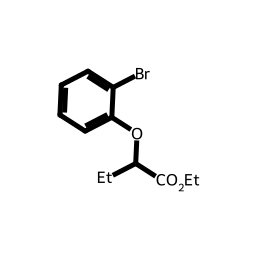 CCOC(=O)C(CC)Oc1ccccc1Br